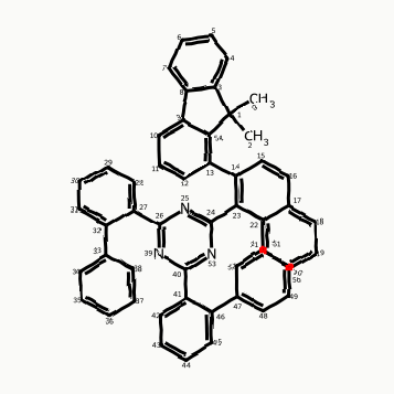 CC1(C)c2ccccc2-c2cccc(-c3ccc4ccccc4c3-c3nc(-c4ccccc4-c4ccccc4)nc(-c4ccccc4-c4ccccc4)n3)c21